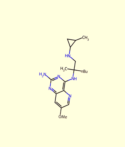 CCCCC(C)(CNC1CC1C)Nc1nc(N)nc2cc(OC)cnc12